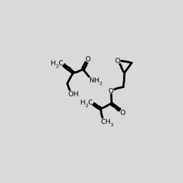 C=C(C)C(=O)OCC1CO1.C=C(CO)C(N)=O